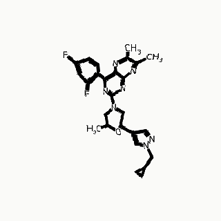 Cc1nc2nc(N3CC(C)OC(c4cnn(CC5CC5)c4)C3)nc(-c3ccc(F)cc3F)c2nc1C